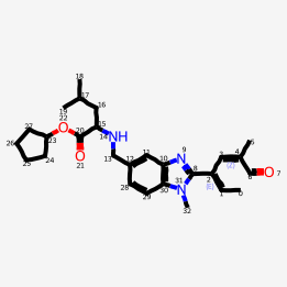 C/C=C(\C=C(\C)C=O)c1nc2cc(CNC(CC(C)C)C(=O)OC3CCCC3)ccc2n1C